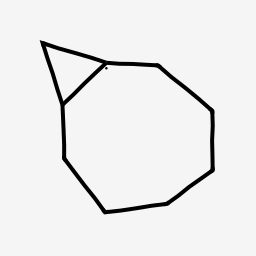 C1CCCC2C[C]2CC1